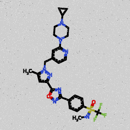 CN=S(=O)(c1ccc(-c2noc(-c3cc(C)n(Cc4ccnc(N5CCN(C6CC6)CC5)c4)n3)n2)cc1)C(F)(F)F